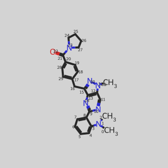 CN(C)c1ccccc1-c1ncc2c(n1)c(Cc1ccc(C(=O)N3CCCC3)cc1)nn2C